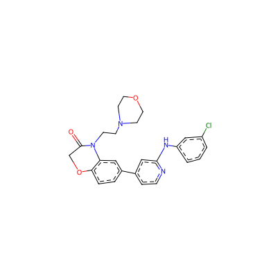 O=C1COc2ccc(-c3ccnc(Nc4cccc(Cl)c4)c3)cc2N1CCN1CCOCC1